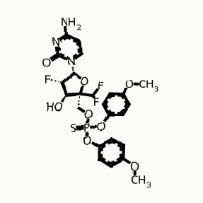 COc1ccc(OP(=S)(OC[C@@]2(C(F)F)O[C@@H](n3ccc(N)nc3=O)[C@@H](F)[C@@H]2O)Oc2ccc(OC)cc2)cc1